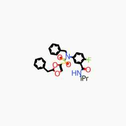 CC(C)NC(=O)c1cc(N(Cc2ccccc2)S(=O)(=O)C2=COC(Cc3ccccc3)O2)ccc1F